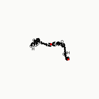 O=C(/C=C/c1cccnc1)NCCCCC1CCN(C(=O)c2ccc(N3CCC(N4CCN(CCCCCCSc5cccc6c5C(=O)N(C5CCC(=O)NC5=O)C6=O)CC4)CC3)nn2)CC1